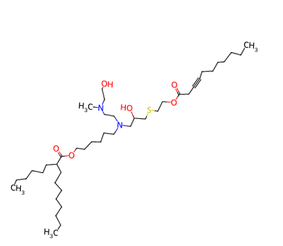 CCCCCCCC#CCC(=O)OCCSCC(O)CN(CCCCCCOC(=O)C(CCCCCC)CCCCCCCC)CCN(C)CCO